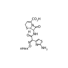 CCCCCCO/N=C(/C(=O)NC1C(=O)N2C(C(=O)O)=CCS[C@H]12)c1csc(N)n1